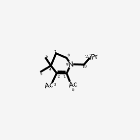 CC(=O)C1=C(C(C)=O)C(C)(C)CCN1CC(C)C